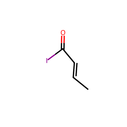 CC=CC(=O)I